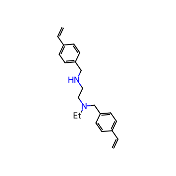 C=Cc1ccc(CNCCN(CC)Cc2ccc(C=C)cc2)cc1